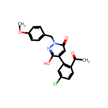 COc1ccc(Cn2nc(O)c(-c3cc(Cl)ccc3C(C)=O)cc2=O)cc1